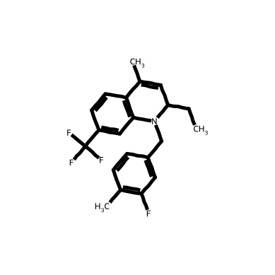 CCC1C=C(C)c2ccc(C(F)(F)F)cc2N1Cc1ccc(C)c(F)c1